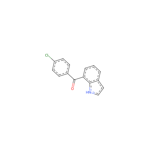 O=C(c1ccc(Cl)cc1)c1cccc2cc[nH]c12